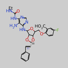 CCNC(=O)Nc1ncnc(NC2OC(COc3ccc(F)cc3C(=O)O)C3O[C@H](/C=C/c4ccccc4)OC23)c1N